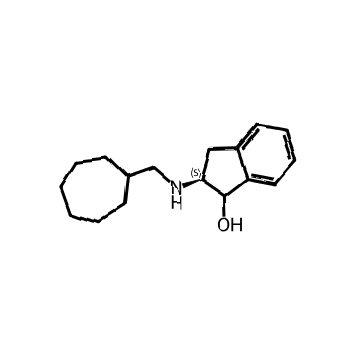 OC1c2ccccc2C[C@@H]1NCC1CCCCCC1